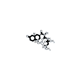 CCN(C(=O)NC(C)(C)CN(C)C)C(=O)[C@@H]1C[C@@H]2CC(=O)CC[C@H]2N(C)C1